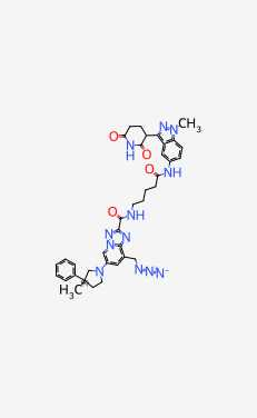 Cn1nc(C2CCC(=O)NC2=O)c2cc(NC(=O)CCCCNC(=O)c3nc4c(CN=[N+]=[N-])cc(N5CC[C@](C)(c6ccccc6)C5)cn4n3)ccc21